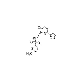 Cc1ccc(S(=O)(=O)NCCn2nc(-c3ccco3)ccc2=O)s1